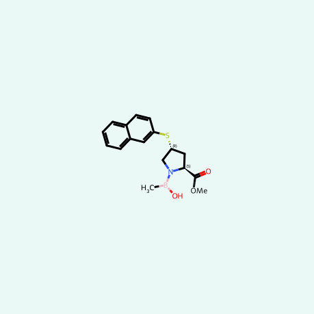 COC(=O)[C@@H]1C[C@@H](Sc2ccc3ccccc3c2)CN1B(C)O